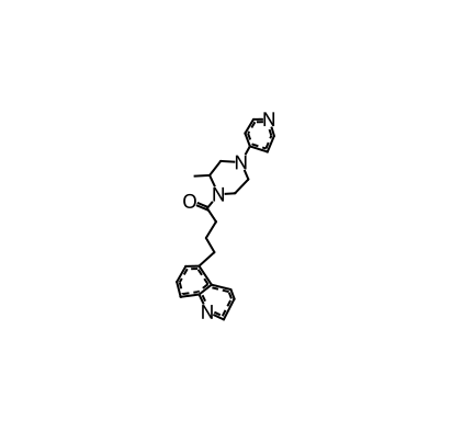 CC1CN(c2ccncc2)CCN1C(=O)CCCc1cccc2ncccc12